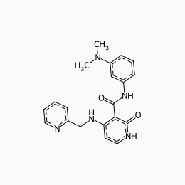 CN(C)c1cccc(NC(=O)c2c(NCc3ccccn3)cc[nH]c2=O)c1